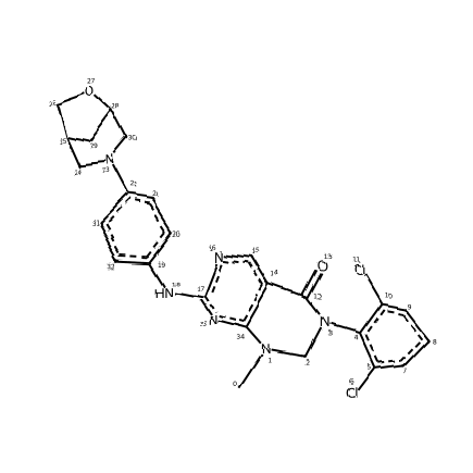 CN1CN(c2c(Cl)cccc2Cl)C(=O)c2cnc(Nc3ccc(N4CC5COC(C5)C4)cc3)nc21